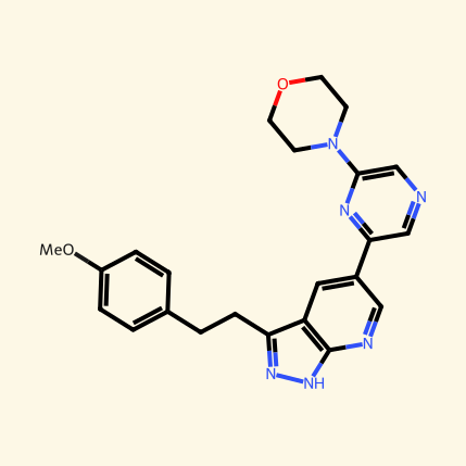 COc1ccc(CCc2n[nH]c3ncc(-c4cncc(N5CCOCC5)n4)cc23)cc1